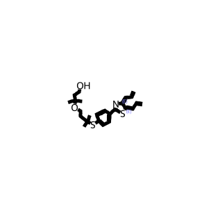 C=C/C=c1/nc(-c2ccc(SC(C)(C)CCOC(C)(C)CCO)cc2)s/c1=C/C=C